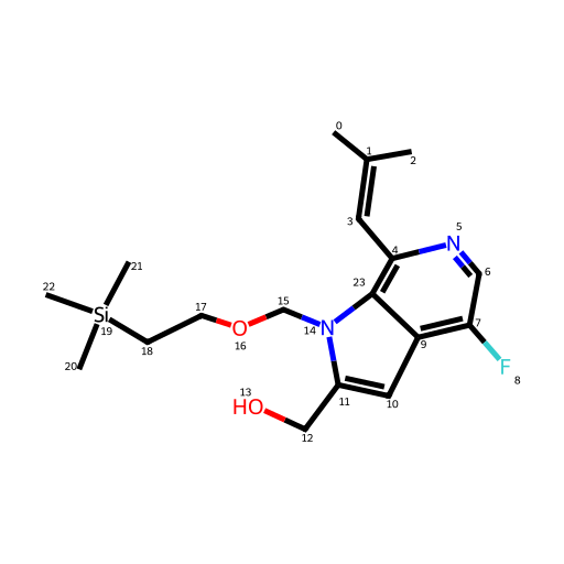 CC(C)=Cc1ncc(F)c2cc(CO)n(COCC[Si](C)(C)C)c12